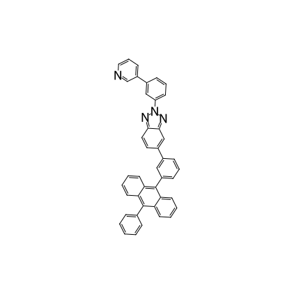 c1ccc(-c2c3ccccc3c(-c3cccc(-c4ccc5nn(-c6cccc(-c7cccnc7)c6)nc5c4)c3)c3ccccc23)cc1